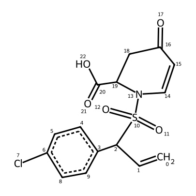 C=CC(c1ccc(Cl)cc1)S(=O)(=O)N1C=CC(=O)CC1C(=O)O